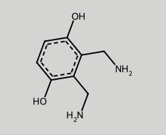 NCc1c(O)ccc(O)c1CN